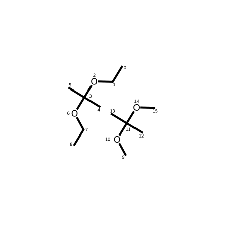 CCOC(C)(C)OCC.COC(C)(C)OC